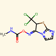 CNC(=O)ON=C1C(C(Cl)(Cl)Cl)Sc2nccn21